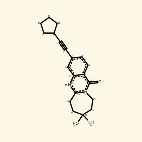 O=c1c2ccc(C#CC3CCCC3)cc2nc2n1CCC(O)(O)CC2